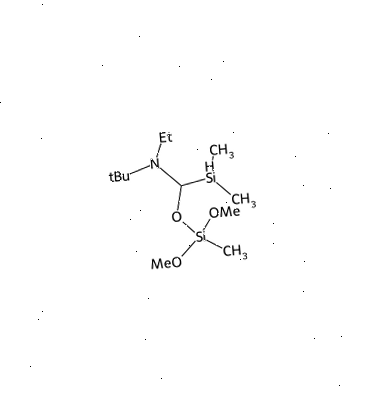 CCN(C(O[Si](C)(OC)OC)[SiH](C)C)C(C)(C)C